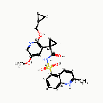 COc1cnc(OCC2CC2)c(C2(C(=O)NS(=O)(=O)c3cccc4nc(C)ccc34)CC2)c1